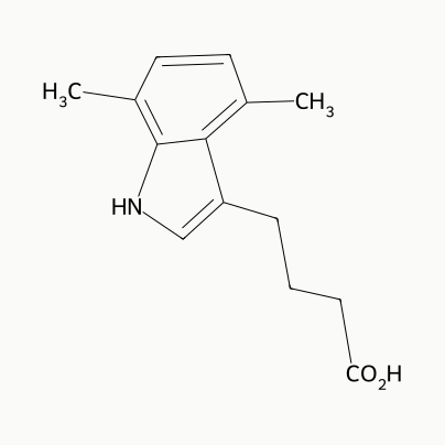 Cc1ccc(C)c2c(CCCC(=O)O)c[nH]c12